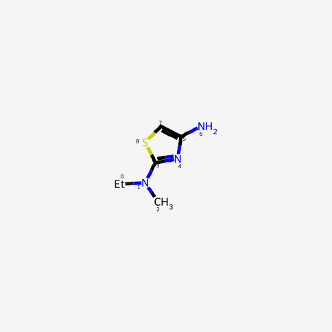 CCN(C)c1nc(N)cs1